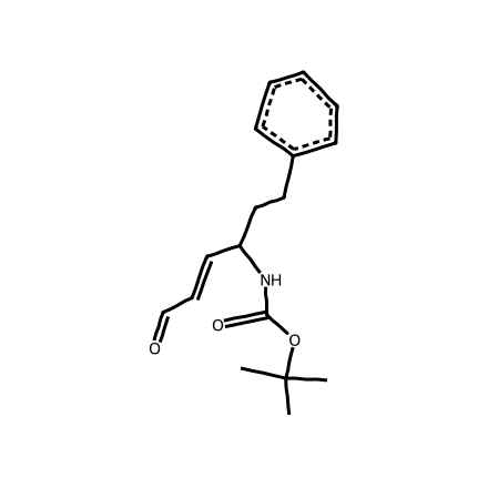 CC(C)(C)OC(=O)NC(C=CC=O)CCc1ccccc1